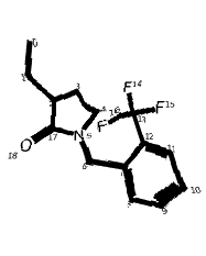 CCC1CCN(Cc2ccccc2C(F)(F)F)C1=O